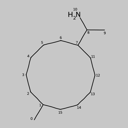 CC1CCCCCC(C(C)N)CCCCC1